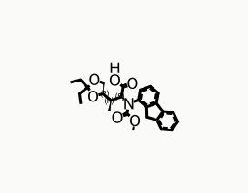 CCC1(CC)OC[C@@H]([C@H](C)[C@@H](C(=O)O)N(C(=O)OC)c2cccc3c2Cc2ccccc2-3)O1